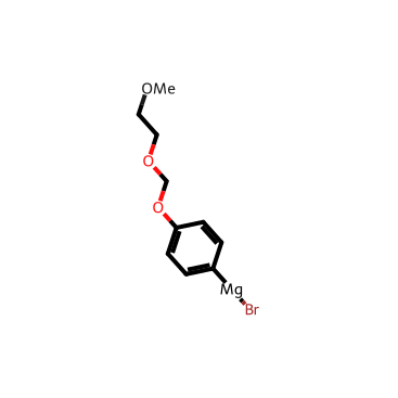 COCCOCOc1cc[c]([Mg][Br])cc1